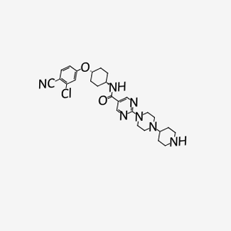 N#Cc1ccc(O[C@H]2CC[C@H](NC(=O)c3cnc(N4CCN(C5CCNCC5)CC4)nc3)CC2)cc1Cl